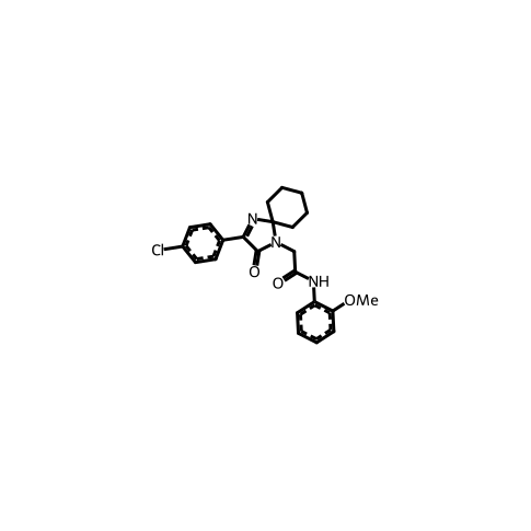 COc1ccccc1NC(=O)CN1C(=O)C(c2ccc(Cl)cc2)=NC12CCCCC2